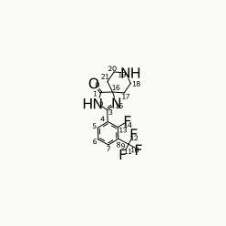 O=C1NC(c2cccc(C(F)(F)F)c2F)=NC12CCNCC2